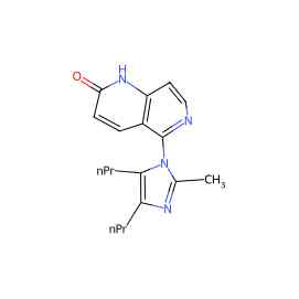 CCCc1nc(C)n(-c2nccc3[nH]c(=O)ccc23)c1CCC